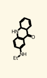 CCNc1ccc2c(c1)C(=O)C1C=CC=CC1N2